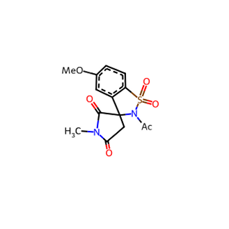 COc1ccc2c(c1)C1(CC(=O)N(C)C1=O)N(C(C)=O)S2(=O)=O